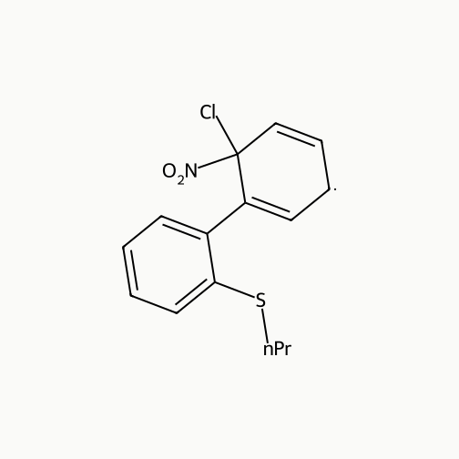 CCCSc1ccccc1C1=C[CH]C=CC1(Cl)[N+](=O)[O-]